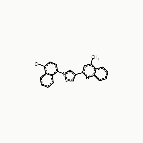 Cc1cc(-c2cnn(-c3ccc(Cl)c4ccccc34)c2)nc2ccccc12